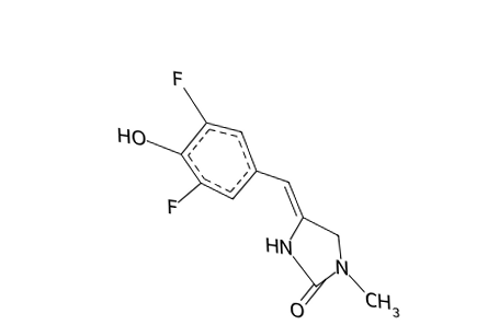 CN1CC(=Cc2cc(F)c(O)c(F)c2)NC1=O